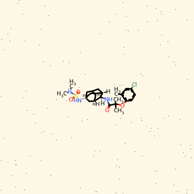 Cc1cc(Cl)ccc1OC(C)(C)C(=O)N[C@H]1[C@@H]2CC3C[C@H]1C[C@](NS(=O)(=O)N(C)C)(C3)C2